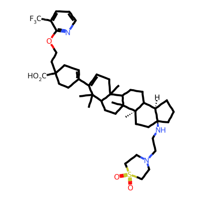 CC1(C)C(C2=CCC(CCOc3ncccc3C(F)(F)F)(C(=O)O)CC2)=CCC2(C)C1CCC1(C)C2CCC2[C@H]3CCC[C@]3(NCCN3CCS(=O)(=O)CC3)CC[C@]21C